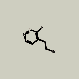 BrCCc1ccnnc1Br